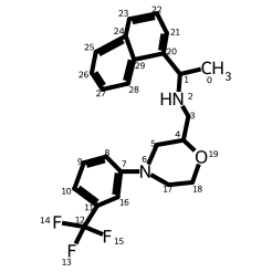 CC(NCC1CN(c2cccc(C(F)(F)F)c2)CCO1)c1cccc2ccccc12